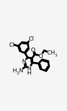 CCOC(=O)C1=C(c2ccccc2)NC(N)=NC1c1cc(Cl)cc(Cl)c1